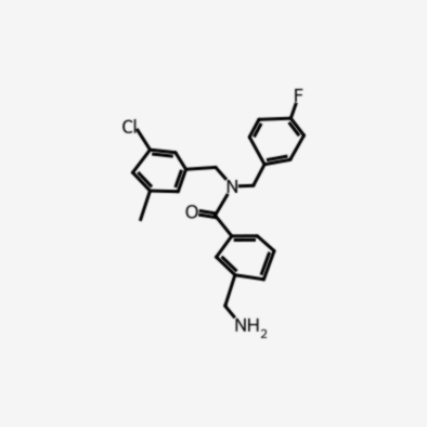 Cc1cc(Cl)cc(CN(Cc2ccc(F)cc2)C(=O)c2cccc(CN)c2)c1